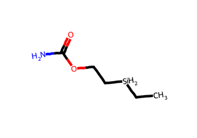 CC[SiH2]CCOC(N)=O